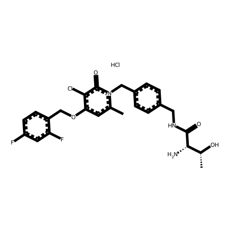 Cc1cc(OCc2ccc(F)cc2F)c(Cl)c(=O)n1Cc1ccc(CNC(=O)[C@@H](N)[C@@H](C)O)cc1.Cl